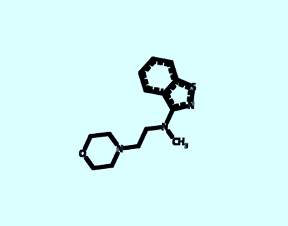 CN(CCN1CCOCC1)c1nsc2ccccc12